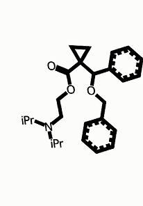 CC(C)N(CCOC(=O)C1(C(OCc2ccccc2)c2ccccc2)CC1)C(C)C